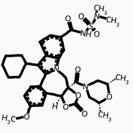 COc1ccc2c(c1)[C@@H]1OC(=O)O[C@]1(C(=O)N1C[C@@H](C)O[C@@H](C)C1)Cn1c-2c(C2CCCCC2)c2ccc(C(=O)NS(=O)(=O)N(C)C)cc21